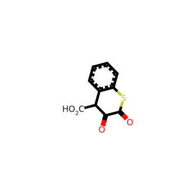 O=C1Sc2ccccc2C(C(=O)O)C1=O